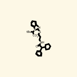 CC(C)(C)C(C(=O)O)n1c(SCCCNC(=O)C(c2ccccc2)C2CCCCC2)nc2ccccc21